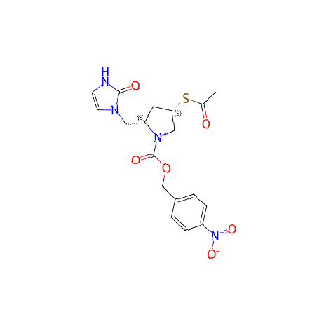 CC(=O)S[C@H]1C[C@@H](Cn2cc[nH]c2=O)N(C(=O)OCc2ccc([N+](=O)[O-])cc2)C1